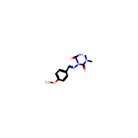 CN(C)C(=O)N(N=Cc1ccc(OC(F)(F)F)cc1)C(N)=O